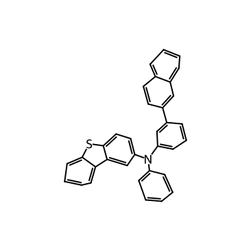 c1ccc(N(c2cccc(-c3ccc4ccccc4c3)c2)c2ccc3sc4ccccc4c3c2)cc1